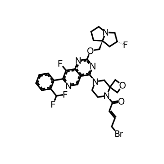 O=C(/C=C/CBr)N1CCN(c2nc(OC[C@@]34CCCN3C[C@H](F)C4)nc3c(F)c(-c4ccccc4C(F)F)ncc23)CC12COC2